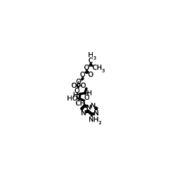 CC(C)OC(=O)OCO[P@]1(=O)OC[C@H]2O[C@@H](c3cnc4c(N)ncnn34)[C@](C)(O)[C@@H]2O1